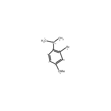 COc1ccc(N(C)C)c(C(C)=O)c1